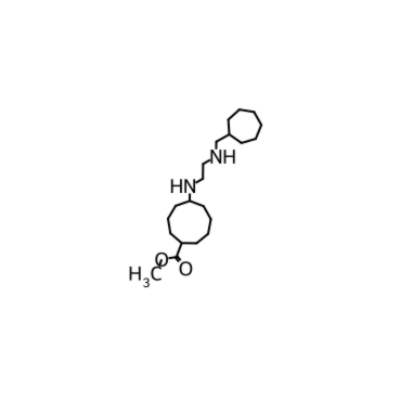 COC(=O)C1CCCCC(NCCNCC2CCCCCC2)CCC1